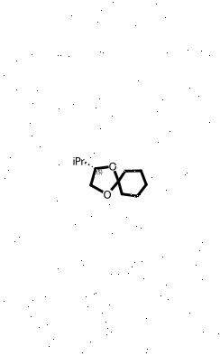 CC(C)[C@H]1COC2(CCCCC2)O1